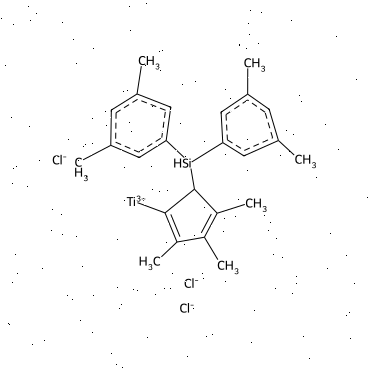 CC1=C(C)C([SiH](c2cc(C)cc(C)c2)c2cc(C)cc(C)c2)[C]([Ti+3])=C1C.[Cl-].[Cl-].[Cl-]